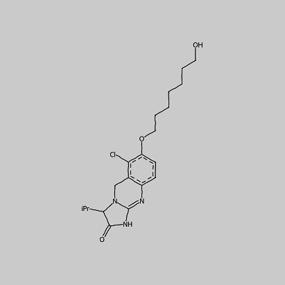 CC(C)C1C(=O)NC2=Nc3ccc(OCCCCCCCO)c(Cl)c3CN21